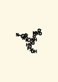 COC(=O)NCC1(F)CC(Nc2cc(-c3ccc4cc(C#N)cnn34)ncc2C(=O)NC[C@@H](F)C(C)(C)O)C1